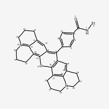 CCNC(=O)c1ccc(C2=c3cc4c5c(c3Oc3c2cc2c6c3CCCN6CCC2)CCC[N+]=5CCC4)cc1